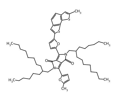 CCCCCCCCC(CCCCCC)CN1C(=O)C2=C(c3ccc(-c4cc5ccc6cc(C)sc6c5s4)o3)N(CC(CCCCCC)CCCCCCCC)C(=O)C2=C1c1ccc(C)o1